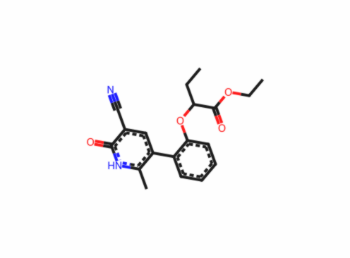 CCOC(=O)C(CC)Oc1ccccc1-c1cc(C#N)c(=O)[nH]c1C